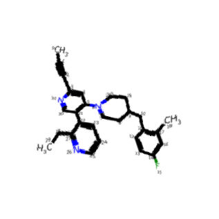 CC#Cc1cc(N2CCC(Cc3ccc(F)cc3C)CC2)c(-c2cccnc2CC)cn1